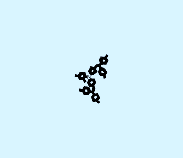 CC1=CCC(/C(=C/c2ccc(N(c3ccc(C=C(c4ccc(C)cc4)c4ccc(C)cc4)cc3)c3ccc(C)cc3C)cc2)c2ccc(C)cc2)C=C1